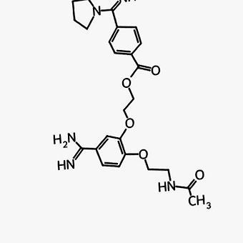 CC(=O)NCCOc1ccc(C(=N)N)cc1OCCOC(=O)c1ccc(C(=N)N2CCCC2)cc1